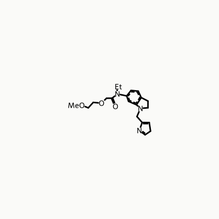 CCN(C(=O)COCCOC)c1ccc2c(c1)N(CC1=CCC=N1)CC2